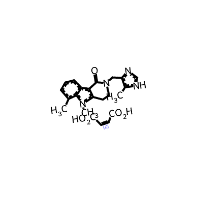 Cc1[nH]cnc1CN1CCc2c(c3cccc(C)c3n2C)C1=O.O=C(O)/C=C\C(=O)O